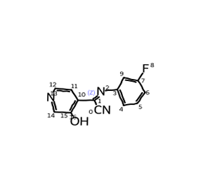 N#C/C(=N\c1cccc(F)c1)c1ccncc1O